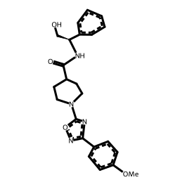 COc1ccc(-c2noc(N3CCC(C(=O)N[C@@H](CO)c4ccccc4)CC3)n2)cc1